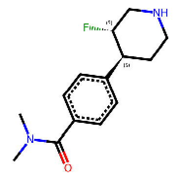 CN(C)C(=O)c1ccc([C@@H]2CCNC[C@H]2F)cc1